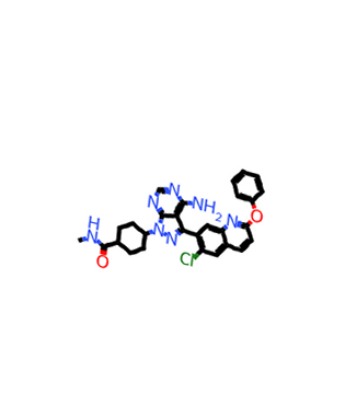 CNC(=O)C1CCC(n2nc(-c3cc4nc(Oc5ccccc5)ccc4cc3Cl)c3c(N)ncnc32)CC1